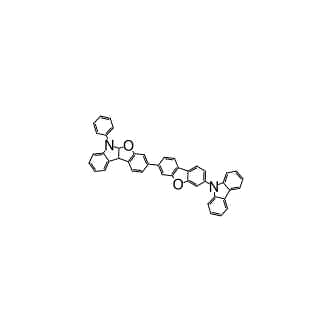 c1ccc(N2c3ccccc3C3c4ccc(-c5ccc6c(c5)oc5cc(-n7c8ccccc8c8ccccc87)ccc56)cc4OC32)cc1